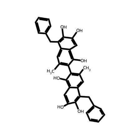 Cc1cc2c(Cc3ccccc3)c(O)c(O)cc2c(O)c1-c1c(C)cc2c(Cc3ccccc3)c(O)c(O)cc2c1O